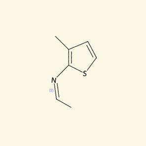 C/C=N\c1sccc1C